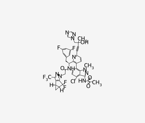 Cn1nc(NS(C)(=O)=O)c2c(Cl)ccc(-c3ccc(C#CC(C)(O)Cn4cncn4)nc3[C@H](Cc3cc(F)cc(F)c3)NC(=O)Cn3nc(C(F)(F)F)c4c3C(F)(F)[C@@H]3C[C@H]43)c21